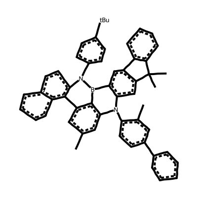 Cc1cc2c3c(c1)N(c1ccc(-c4ccccc4)cc1C)c1cc4c(cc1B3N(c1ccc(C(C)(C)C)cc1)c1ccc3ccccc3c1-2)-c1ccccc1C4(C)C